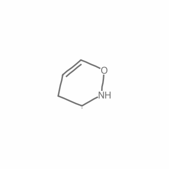 [CH]1CC=CON1